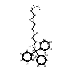 NCCOCCOCCNC(c1ccccc1)(c1ccccc1)c1ccccc1